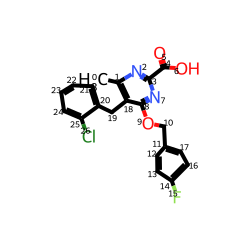 Cc1nc(C(=O)O)nc(OCc2ccc(F)cc2)c1Cc1ccccc1Cl